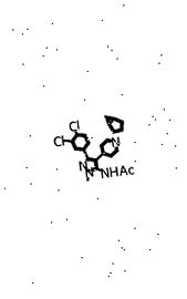 CC(=O)Nc1c(-c2ccncc2)c(-c2ccc(Cl)c(Cl)c2)nn1C.c1cc2cc-2c1